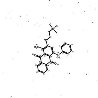 C[N+](C)(C)CCOc1cc(Nc2ccccc2)c2c(c1N)C(=O)c1ccccc1C2=O